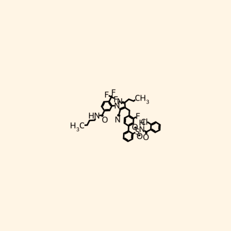 CCCCNC(=O)c1ccc(C(F)(F)F)c(-n2nc(CCC)c(Cc3ccc(-c4ccccc4S(=O)(=O)NC(=O)c4ccccc4Cl)cc3F)c2C#N)c1